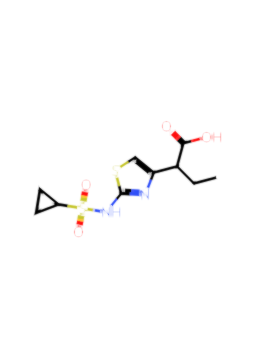 CCC(C(=O)O)c1csc(NS(=O)(=O)C2CC2)n1